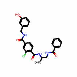 O=CC(CNC(=O)c1ccccc1)NC(=O)c1ccc(C(=O)NCc2cccc(O)c2)cc1Cl